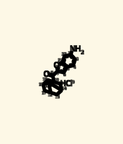 Cl.Nc1ccc2cc(C(=O)C34CC5CC(CC(C5)C3)C4)oc2c1